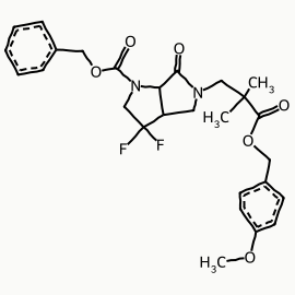 COc1ccc(COC(=O)C(C)(C)CN2CC3C(C2=O)N(C(=O)OCc2ccccc2)CC3(F)F)cc1